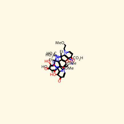 CCC(NC(=O)O)(c1ccc(CNC(=O)O)c(C(CC)(NC(=O)O)c2c(O)c(=O)ccn2CCOC)c1C(CC)(NC(=O)O)c1c(O)c(=O)ccn1CCOC)c1c(O)c(=O)ccn1CCOC